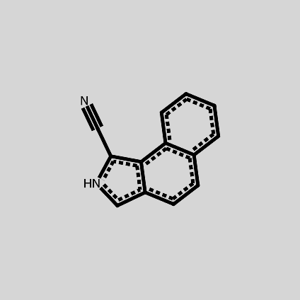 N#Cc1[nH]cc2ccc3ccccc3c12